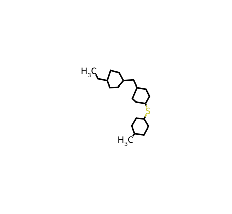 CCC1CCC(CC2CCC(SC3CCC(C)CC3)CC2)CC1